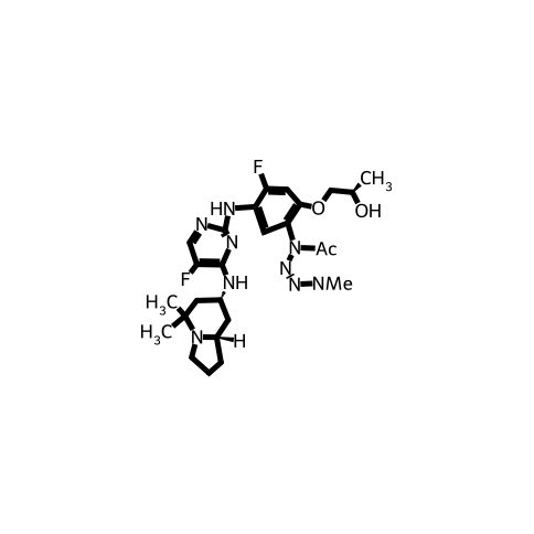 CN/N=N\N(C(C)=O)c1cc(Nc2ncc(F)c(N[C@@H]3C[C@@H]4CCCN4C(C)(C)C3)n2)c(F)cc1OC[C@@H](C)O